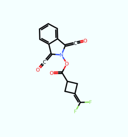 O=C=c1c2ccccc2c(=C=O)n1OC(=O)C1CC(=C(F)F)C1